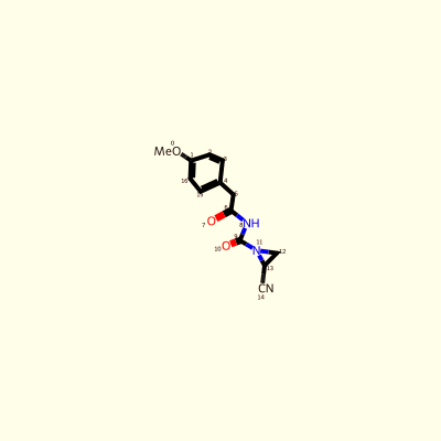 COc1ccc(CC(=O)NC(=O)N2CC2C#N)cc1